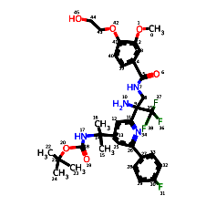 COc1cc(C(=O)NCC(N)(c2cc(C(C)(C)NC(=O)OC(C)(C)C)cc(-c3ccc(F)cc3)n2)C(F)(F)F)ccc1OCCO